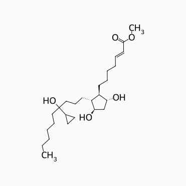 CCCCCCC(O)(CCC[C@@H]1[C@@H](CCCCC=CC(=O)OC)[C@H](O)C[C@H]1O)C1CC1